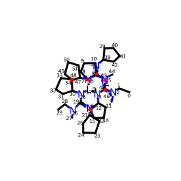 CCN(C)C(=NC1CCCC1)[N](C1CCCC1)[La]([N](C(=NC1CCCC1)N(C)CC)C1CCCC1)[N](C(=NC1CCCC1)N(C)CC)C1CCCC1